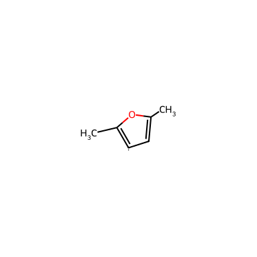 Cc1[c]cc(C)o1